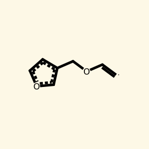 [CH]=COCc1ccoc1